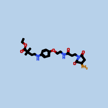 CCOC(=O)C(C)(C)CCNc1ccc(OCCNC(=O)CCN2C(=O)CC(P)C2=O)cc1